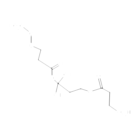 CC(C)(CCOC(=O)CCC(=O)O)OC(=O)CCOOC(=O)O